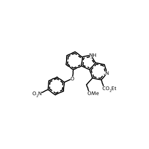 CCOC(=O)c1ncc2[nH]c3cccc(Oc4ccc([N+](=O)[O-])cc4)c3c2c1COC